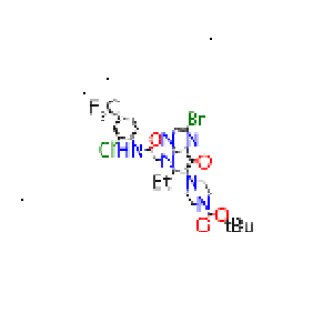 CCc1c(N2CCN(C(=O)OC(C)(C)C)CC2)c(=O)c2nc(Br)cnc2n1CC(=O)Nc1ccc(C(F)(F)F)cc1Cl